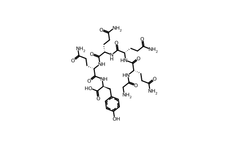 NCC(=O)N[C@@H](CCC(N)=O)C(=O)N[C@@H](CCC(N)=O)C(=O)N[C@@H](CCC(N)=O)C(=O)N[C@@H](CCC(N)=O)C(=O)N[C@@H](Cc1ccc(O)cc1)C(=O)O